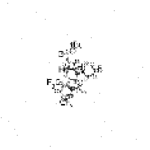 C=C(OC1CC[C@@H]2CN(C(=O)OC(C)(C)C)C[C@@H]2[C@H]1c1ccc(F)cc1)c1cc(C(F)(F)F)cc(C(F)(F)F)c1